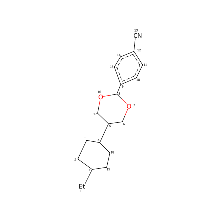 CCC1CCC(C2COC(c3ccc(C#N)cc3)OC2)CC1